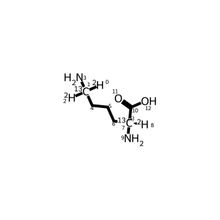 [2H][13C]([2H])(N)CCC[13C@]([2H])(N)C(=O)O